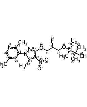 Cc1cnc(C)c(-n2nc(OCC(F)CO[Si](C)(C)C(C)(C)C)c([N+](=O)[O-])c2C)c1